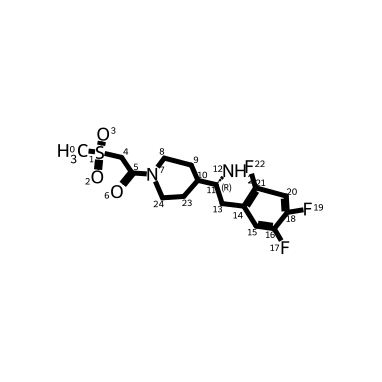 CS(=O)(=O)CC(=O)N1CCC([C@H](N)Cc2cc(F)c(F)cc2F)CC1